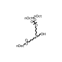 CCCCCCCCCCCOC(=O)CCCCCN(CCO)CCCCCOC(C)(C)C(=O)OC(CCCCCCCC)CCCCCCCC